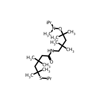 CC(C)SC(C)(C)CC(C)(C)CC(=O)NCC(C)(C)CC(C)(C)ON(C)C(C)C